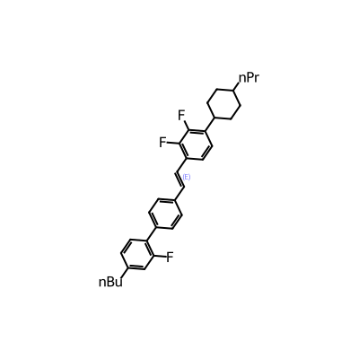 CCCCc1ccc(-c2ccc(/C=C/c3ccc(C4CCC(CCC)CC4)c(F)c3F)cc2)c(F)c1